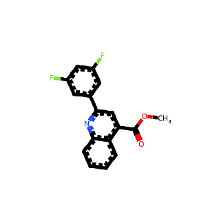 COC(=O)c1cc(-c2cc(F)cc(F)c2)nc2ccccc12